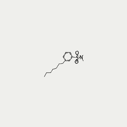 CCCCCCCc1cccc(S(=O)(=O)N(C)C)c1